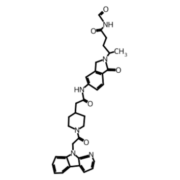 CC(CCC(=O)NC=O)N1Cc2cc(NC(=O)CC3CCN(C(=O)Cn4c5ccccc5c5cccnc54)CC3)ccc2C1=O